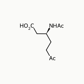 CC(=O)CC[C@@H](CC(=O)O)NC(C)=O